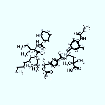 CCCCCCN(C(=O)[C@@H](NC(=O)[C@H]1CCCCN1)[C@@H](C)CC)[C@H](C[C@@H](OC(C)=O)c1nc(C(=O)N[C@@H](Cc2ccc(NC(=O)CN)c(F)c2)CC(C)(C)C(=O)O)cs1)C(C)C